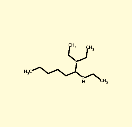 CCCCCC(PCC)P(CC)CC